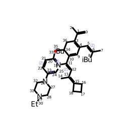 C=C(C)C1=C(/C=C(/C)C(C)CC)C=C(C(=C/C(C)=C2CCC2)/N=C(/C=C\C(=C/C)N2CCN(CC)CC2)C(C)CC)C(C)C1